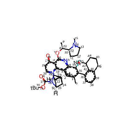 Cc1cc2c(nc(O[C@@H](C)[C@@H]3CCCN3C)c3c(=O)ccn([C@H]4[C@@H]5C[C@H]4N(C(=O)OC(C)(C)C)C5)c32)c(F)c1-c1cccc2c1C(C#N)CCC2